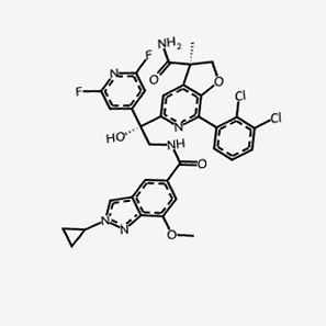 COc1cc(C(=O)NC[C@@](O)(c2cc(F)nc(F)c2)c2cc3c(c(-c4cccc(Cl)c4Cl)n2)OC[C@]3(C)C(N)=O)cc2cn(C3CC3)nc12